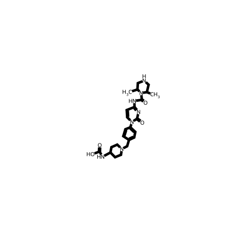 CC1CNCC(C)N1C(=O)Nc1ccn(-c2ccc(CN3CCC(NC(=O)O)CC3)cc2)c(=O)n1